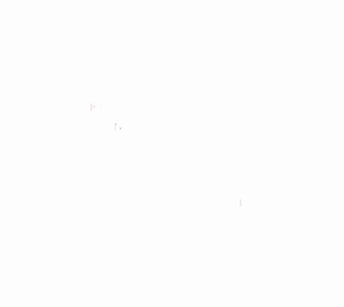 ON1CCC=C(CCI)CC1